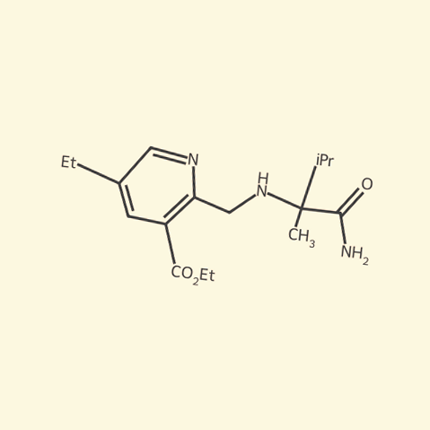 CCOC(=O)c1cc(CC)cnc1CNC(C)(C(N)=O)C(C)C